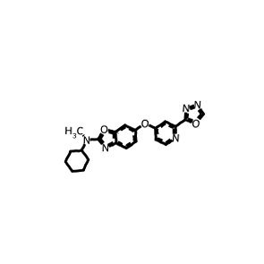 CN(c1nc2ccc(Oc3ccnc(-c4nnco4)c3)cc2o1)C1CCCCC1